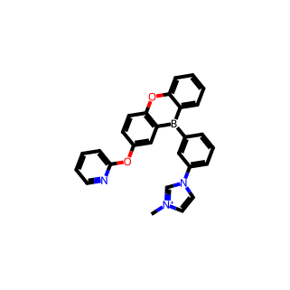 C[n+]1ccn(-c2cccc(B3c4ccccc4Oc4ccc(Oc5ccccn5)cc43)c2)c1